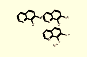 CCCc1ccc2cccnc2c1[O-].CCCc1ccc2cccnc2c1[O-].CCCc1ccc2cccnc2c1[O-].[Al+3]